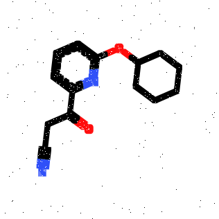 N#CCC(=O)c1cccc(OC2CCCCC2)n1